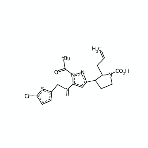 C=CCC1C(c2cc(NCc3ccc(Cl)s3)n(C(=O)C(C)(C)C)n2)CCN1C(=O)O